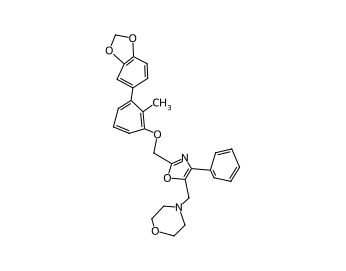 Cc1c(OCc2nc(-c3ccccc3)c(CN3CCOCC3)o2)cccc1-c1ccc2c(c1)OCO2